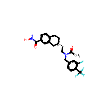 CC(=O)N(CC[C@H]1CCc2ccc(C(=O)NO)cc2C1)Cc1ccc(C(F)(F)F)c(F)c1